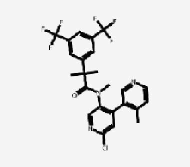 Cc1ccncc1-c1cc(Cl)ncc1N(C)C(=O)C(C)(C)c1cc(C(F)(F)F)cc(C(F)(F)F)c1